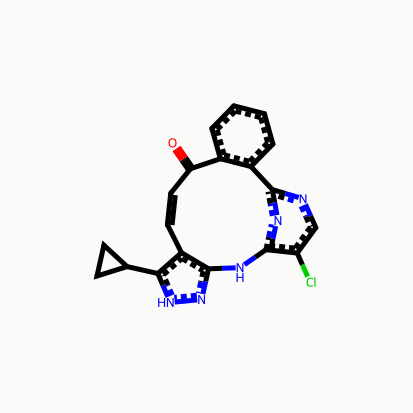 O=C1/C=C\c2c(n[nH]c2C2CC2)Nc2nc(ncc2Cl)-c2ccccc21